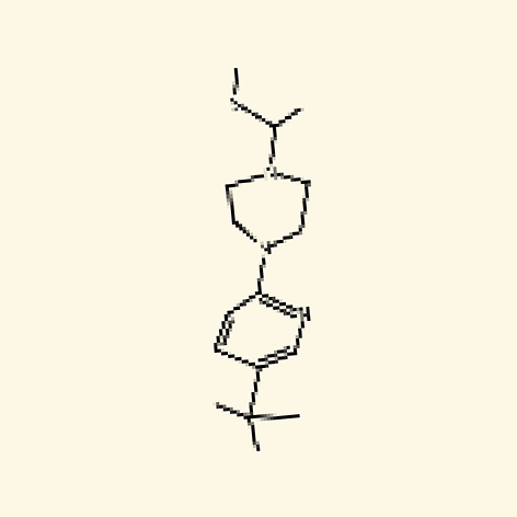 CSC(C)N1CCN(c2ccc(C(C)(C)C)cn2)CC1